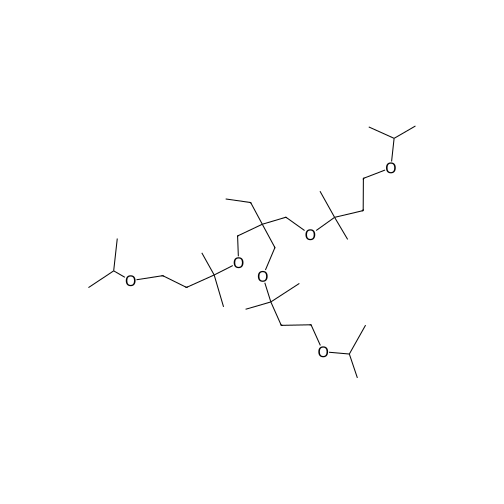 CCC(COC(C)(C)CCOC(C)C)(COC(C)(C)CCOC(C)C)COC(C)(C)CCOC(C)C